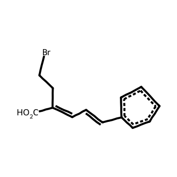 O=C(O)C(=CC=Cc1ccccc1)CCBr